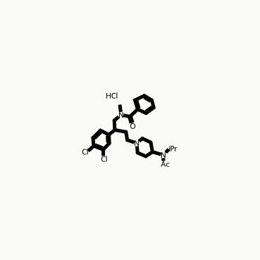 CC(=O)N(C(C)C)C1CCN(CCC(CN(C)C(=O)c2ccccc2)c2ccc(Cl)c(Cl)c2)CC1.Cl